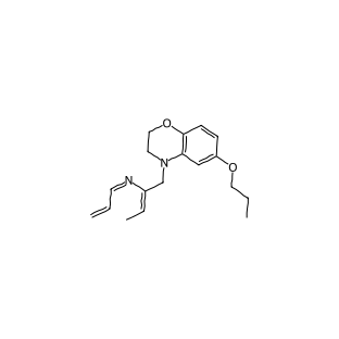 C=C/C=N\C(=C/C)CN1CCOc2ccc(OCCC)cc21